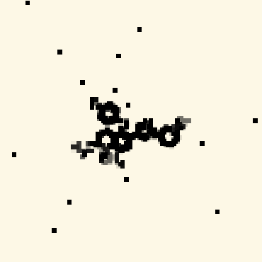 CC1CCc2c(ccc(-c3cnn(C4CCC[S+]([O-])C4)c3)c2Oc2ccc(F)cc2)N1C